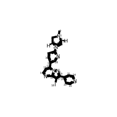 CN1C[C@@H]2C[C@H]1CN2c1ccc(-c2ccnc3c(I)c(-c4ccncc4)nn23)cn1